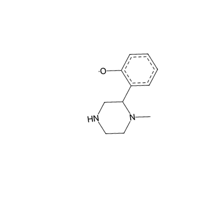 CN1CCNCC1c1ccccc1[O]